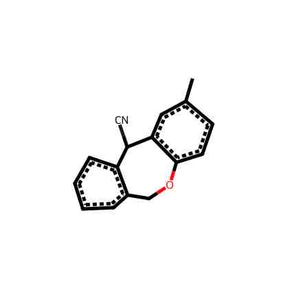 Cc1ccc2c(c1)C(C#N)c1ccccc1CO2